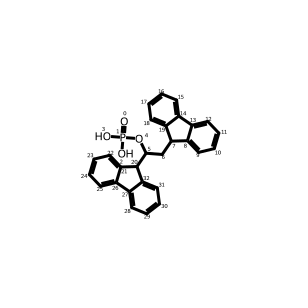 O=P(O)(O)OC(CC1c2ccccc2-c2ccccc21)C1c2ccccc2-c2ccccc21